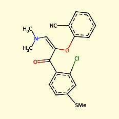 CSc1ccc(C(=O)/C(=C\N(C)C)Oc2ccccc2C#N)c(Cl)c1